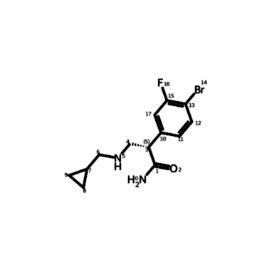 NC(=O)[C@H](CNCC1CC1)c1ccc(Br)c(F)c1